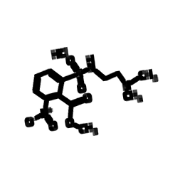 COC(=O)c1c([N+](=O)[O-])cccc1S(=O)(=O)NCCN(C)C.Cl